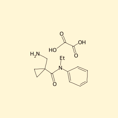 CCN(C(=O)C1(CN)CC1)c1ccccc1.O=C(O)C(=O)O